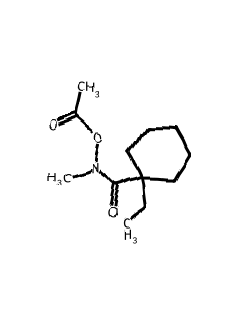 CCC1(C(=O)N(C)OC(C)=O)CCCCC1